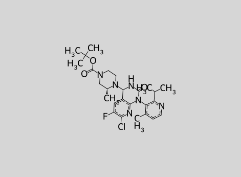 Cc1ccnc(C(C)C)c1N1C(=O)NC(N2CCN(C(=O)OC(C)(C)C)C[C@@H]2C)c2cc(F)c(Cl)nc21